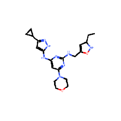 CCC1C=C(CNc2nc(Nc3cc(C4CC4)n[nH]3)cc(N3CCOCC3)n2)ON1